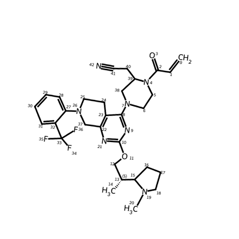 C=CC(=O)N1CCN(c2nc(OC[C@@H](C)C3CCCN3C)nc3c2CCN(c2ccccc2C(F)(F)F)C3)CC1CC#N